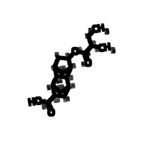 CCC(C)C(=O)OC1CC2CC1C1C3CC(C(=O)O)C(C3)C21